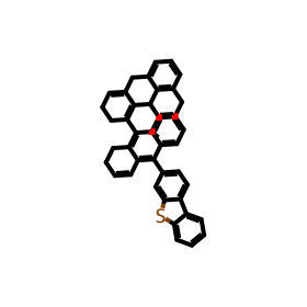 CCC1=CCc2cccc3c2C1C1=C(c2c4c(c(-c5ccc6c(c5)sc5ccccc56)c5ccccc25)C=CCC4)CCC=C1C3